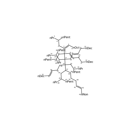 CCCCCCCCC=C(CC(CCC)CCCCC)C(C=CCCCCCCCCCCCC)(CC(CCC)CCCCC)C(CC=CCCCCCCCCCCC)(CC(CCC)CCCCC)C(CCC=CCCCCCCCCCC)(CC(CCC)CCCCC)[C](CCCC=CCCCCCCCCC)CC(CCC)CCCCC